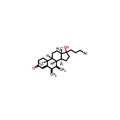 C=C1C(=C)[C@@H]2[C@@H](CC[C@@]3(C)[C@H]2CCC3(O)CCCC(C)=O)[C@@]2(C)CCC(=O)C=C12